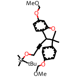 COCOc1ccc(C2(C)COc3cc(OCOC)ccc3C2C#CCO[Si](C)(C)C(C)(C)C)cc1